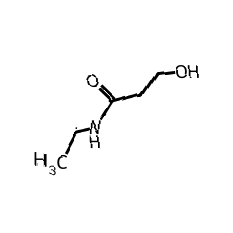 C[CH]NC(=O)CCO